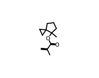 C=C(C)C(=O)OC1(C)CCCC12CC2